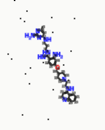 Cc1cc(NCCCNC(=N)c2ccc(OCC3CCN(CCNc4ccnc5ccccc45)CC3)cc2N)nc(N)n1